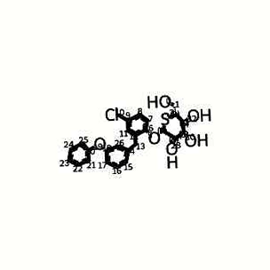 OC[C@H]1S[C@@H](Oc2ccc(Cl)cc2Cc2cccc(Oc3ccccc3)c2)[C@H](O)[C@@H](O)[C@@H]1O